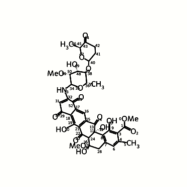 COC(=O)c1c(C)cc2c(c1O)[C@]1(O)C(=O)c3cc4c(c(O)c3C(=O)[C@]1(OC)[C@H](O)C2)C(=O)C=C(NC1O[C@@H](C)[C@H](OC2CCC(=O)[C@H](C)O2)[C@@H](O)[C@H]1OC)C4=O